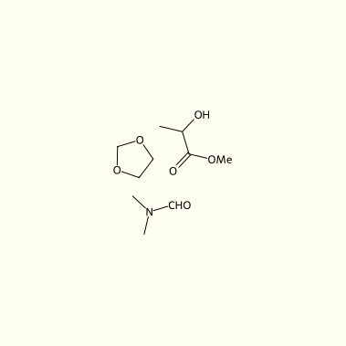 C1COCO1.CN(C)C=O.COC(=O)C(C)O